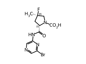 C[C@@]1(F)C[C@@H](C(=O)Nc2cncc(Br)n2)N(C(=O)O)C1